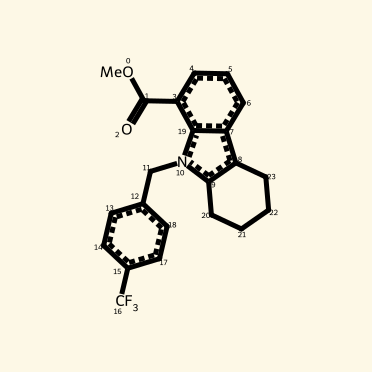 COC(=O)c1cccc2c3c(n(Cc4ccc(C(F)(F)F)cc4)c12)CCCC3